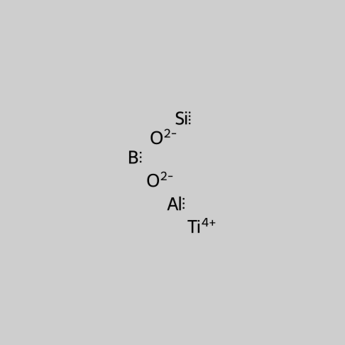 [Al].[B].[O-2].[O-2].[Si].[Ti+4]